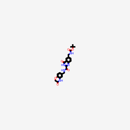 CC(C)(C)OC(=O)NCc1ccc2nc(C(=O)NCc3ccc4c(c3)NC(=O)CO4)[nH]c(=O)c2c1